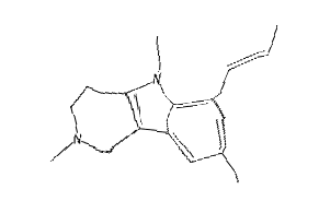 C/C=C/c1cc(C)cc2c3c(n(C)c12)CCN(C)C3